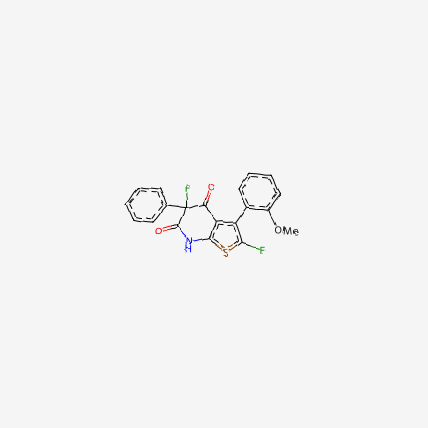 COc1ccccc1-c1c(F)sc2c1C(=O)C(F)(c1ccccc1)C(=O)N2